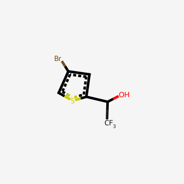 OC(c1cc(Br)cs1)C(F)(F)F